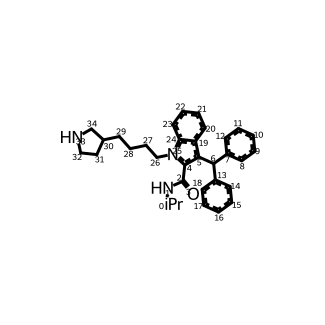 CC(C)NC(=O)c1c(C(c2ccccc2)c2ccccc2)c2ccccc2n1CCCCC1CCNC1